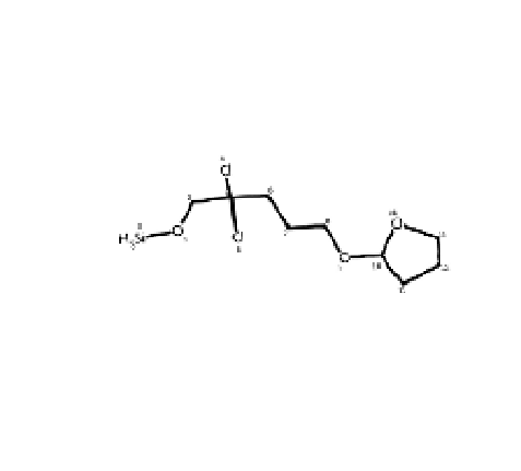 [SiH3]OCC(Cl)(Cl)CCCOC1CCCO1